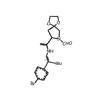 C=C(N/C=C(/c1ccc(Br)cc1)C(C)CC)C1CC2(CN1C=O)OCCO2